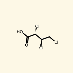 O=C(O)[C@H](Cl)[C@H](Cl)CCl